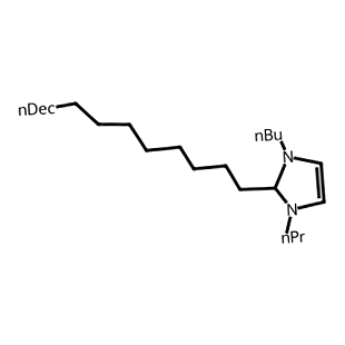 CCCCCCCCCCCCCCCCCCC1N(CCC)C=CN1CCCC